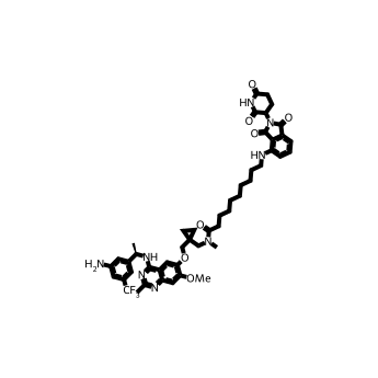 COc1cc2nc(C)nc(N[C@H](C)c3cc(N)cc(C(F)(F)F)c3)c2cc1OCC1(CN(C)C(=O)CCCCCCCCCNc2cccc3c2C(=O)N(C2CCC(=O)NC2=O)C3=O)CC1